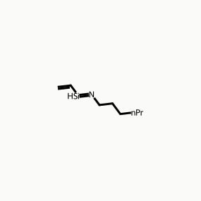 C=C[SiH]=NCCCCCC